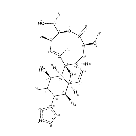 C=C1O[C@H]([C@@H](C)O)[C@H](C)/C=C(\C)[C@@]23O[C@H]4C(n5ccnc5)C(C)[C@@H](O)[C@@H]2[C@H]4C=C[C@@H]3C[C@@H]1OC